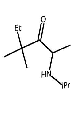 CCC(C)(C)C(=O)C(C)NC(C)C